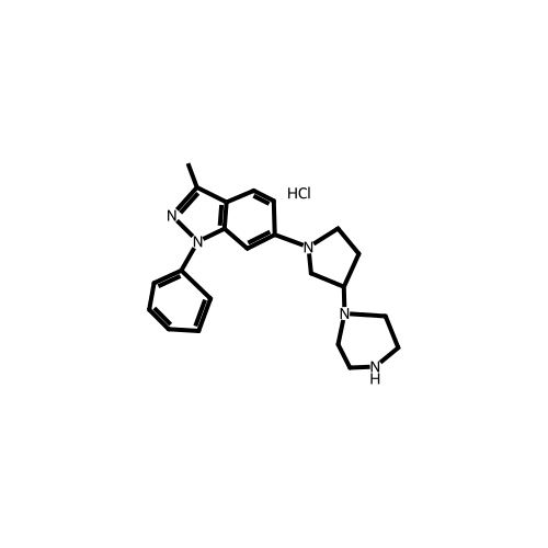 Cc1nn(-c2ccccc2)c2cc(N3CCC(N4CCNCC4)C3)ccc12.Cl